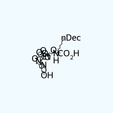 CCCCCCCCCCCCCCCCC(NC(=O)CCC(=O)O[C@]1(CC)C(=O)OCc2c1cc1n(c2=O)Cc2cc3cc(O)ccc3nc2-1)C(=O)O